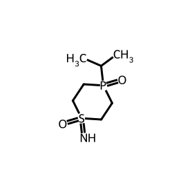 CC(C)P1(=O)CCS(=N)(=O)CC1